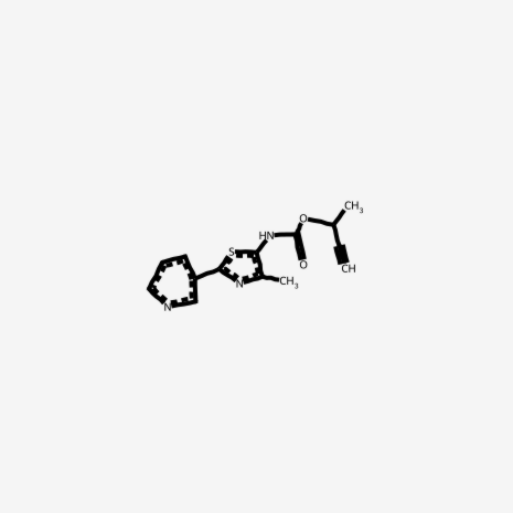 C#CC(C)OC(=O)Nc1sc(-c2cccnc2)nc1C